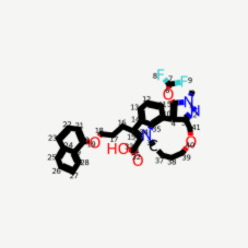 Cn1nc2c(c1OC(F)F)-c1cccc3c(CCCOc4cccc5ccccc45)c(C(=O)O)n(c13)CCCCOC2